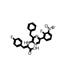 O=C(O)/C(=C/c1ccc(F)cc1)Nc1ncc(-c2cccc([N+](=O)[O-])c2F)nc1Cc1ccccc1